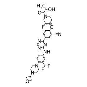 C[C@H](O)C(=O)N1CC[C@H](Oc2ccc(-c3ncnc(Nc4ccc(N5CCN(C6COC6)CC5)c(C(F)F)c4)n3)cc2C#N)[C@@H](F)C1